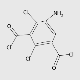 Nc1cc(C(=O)Cl)c(Cl)c(C(=O)Cl)c1Cl